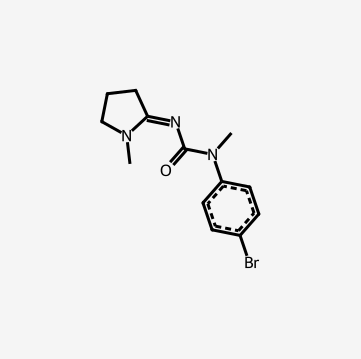 CN1CCC/C1=N/C(=O)N(C)c1ccc(Br)cc1